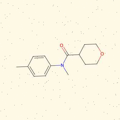 Cc1ccc(N(C)C(=O)C2CCOCC2)cc1